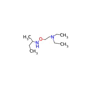 CCC(C)NOCCN(CC)CC